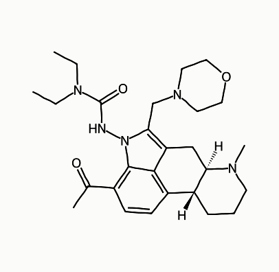 CCN(CC)C(=O)Nn1c(CN2CCOCC2)c2c3c(ccc(C(C)=O)c31)[C@H]1CCCN(C)[C@@H]1C2